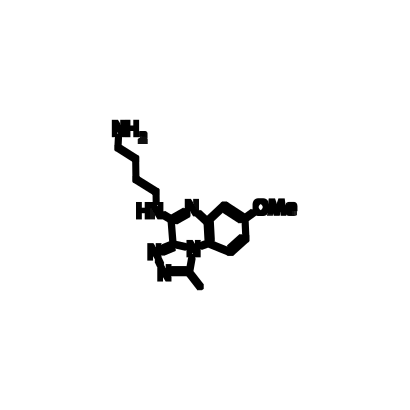 COc1ccc2c(c1)nc(NCCCCN)c1nnc(C)n12